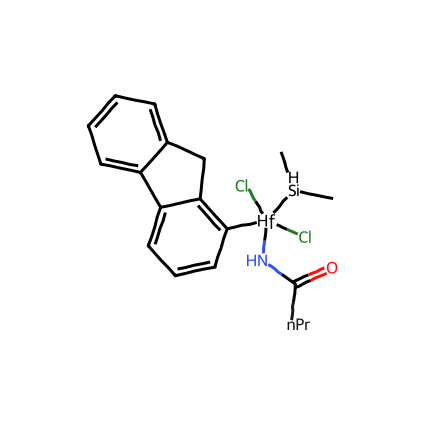 CCCC(=O)[NH][Hf]([Cl])([Cl])([c]1cccc2c1Cc1ccccc1-2)[SiH](C)C